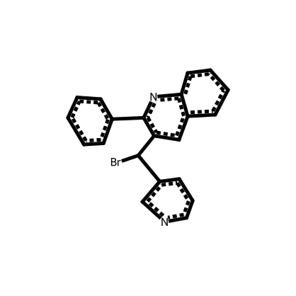 BrC(c1cccnc1)c1cc2ccccc2nc1-c1ccccc1